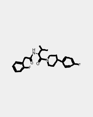 CC(C)[C@@H](NC(=O)Cc1ccccc1F)C(=O)N1CCC(c2ccc(F)cc2)CC1